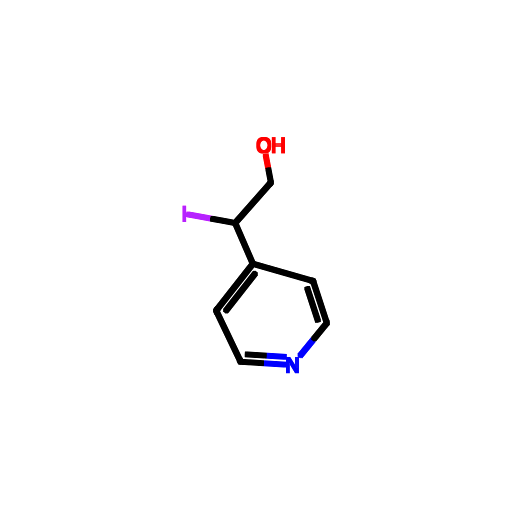 OCC(I)c1ccncc1